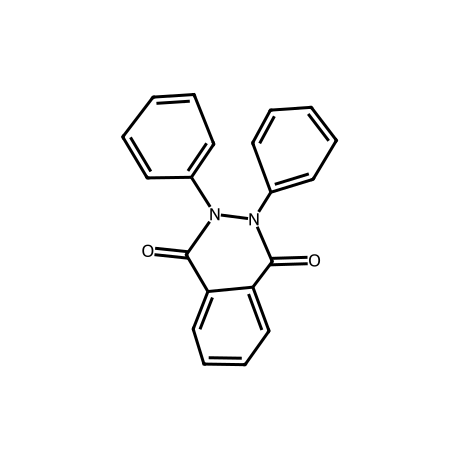 O=c1c2ccccc2c(=O)n(-c2ccccc2)n1-c1ccccc1